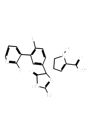 CCN1CC([C@]2(c3ccc(F)c(-c4cccnc4F)c3)N=C(N)NC2=O)C=C1C(=O)OC